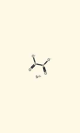 O=S([O-])S(=O)[O-].[Sr+2]